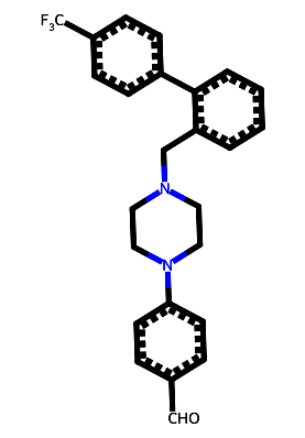 O=Cc1ccc(N2CCN(Cc3ccccc3-c3ccc(C(F)(F)F)cc3)CC2)cc1